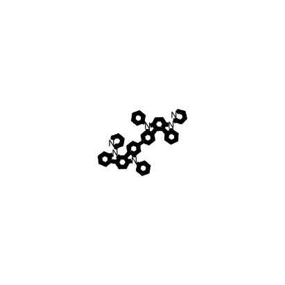 c1ccc(-n2c3cc(-c4ccc5c6c(ccc7c8ccccc8n(-c8ccccn8)c76)n(-c6ccccc6)c5c4)ccc3c3c4c5ccccc5n(-c5ccccn5)c4ccc32)cc1